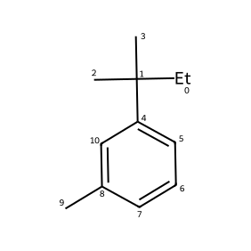 CCC(C)(C)c1cccc(C)c1